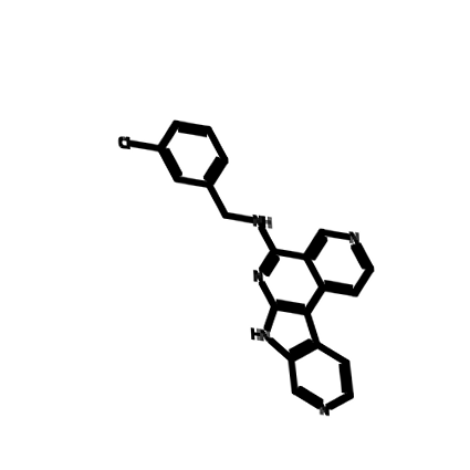 Clc1cccc(CNc2nc3[nH]c4cnccc4c3c3ccncc23)c1